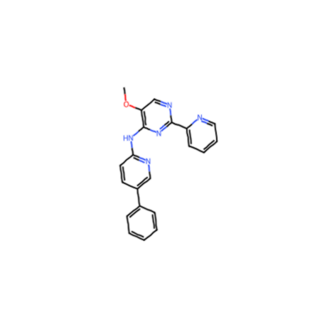 COc1cnc(-c2ccccn2)nc1Nc1ccc(-c2ccccc2)cn1